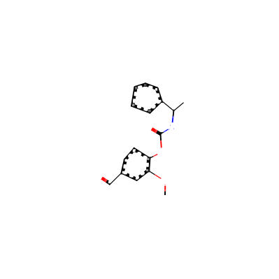 COc1cc(C=O)ccc1OC(=O)NC(C)c1ccccc1